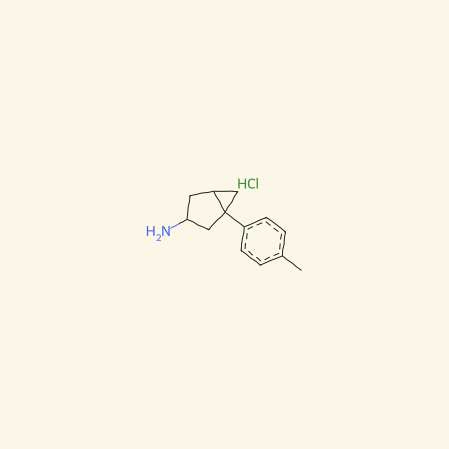 Cc1ccc(C23CC(N)CC2C3)cc1.Cl